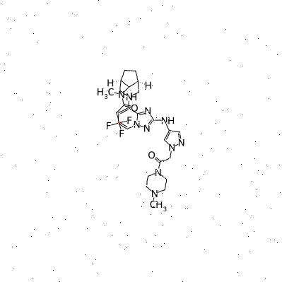 CN1CCN(C(=O)Cn2cc(Nc3nc4c(N5C[C@H]6CC[C@@H](C5)[C@H]6N(C)C(=O)CC(F)(F)F)cccn4n3)cn2)CC1